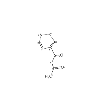 CC(=O)CC(Cl)c1ccncc1